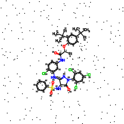 CCC(Oc1ccc(C(C)(C)CC)cc1C(C)(C)CC)C(=O)Nc1ccc(Cl)c(NC2=NN(c3c(Cl)cc(Cl)cc3Cl)C(=O)C2NS(=O)(=O)c2ccccc2)c1